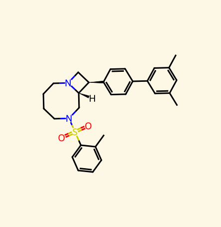 Cc1cc(C)cc(-c2ccc([C@@H]3CN4CCCCN(S(=O)(=O)c5ccccc5C)C[C@@H]34)cc2)c1